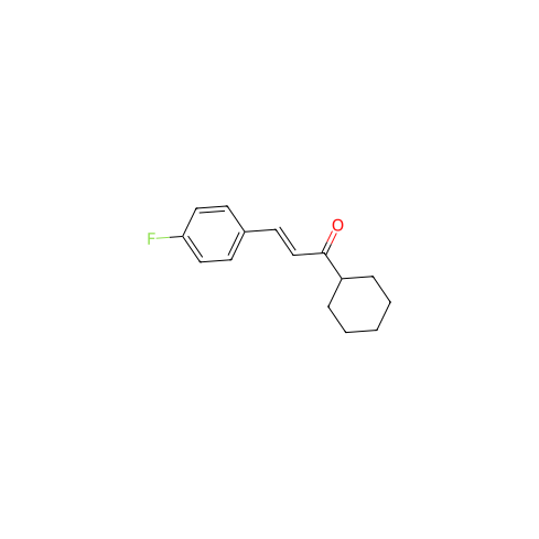 O=C(C=Cc1ccc(F)cc1)C1CCCCC1